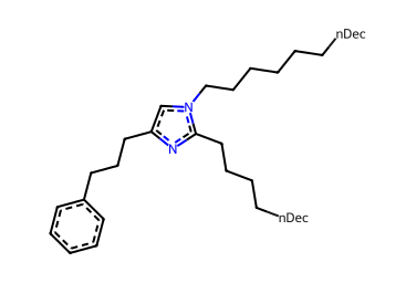 CCCCCCCCCCCCCCCCn1cc(CCCc2ccccc2)nc1CCCCCCCCCCCCCC